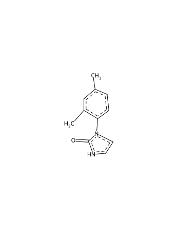 Cc1ccc(-n2cc[nH]c2=O)c(C)c1